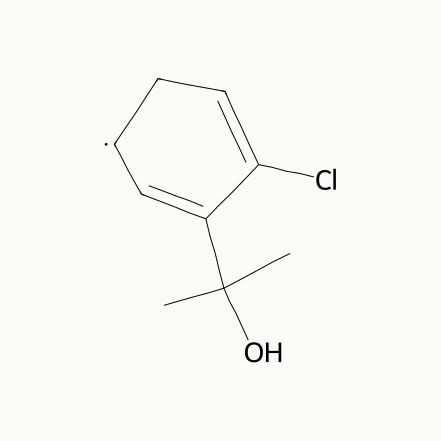 CC(C)(O)C1=C[CH]CC=C1Cl